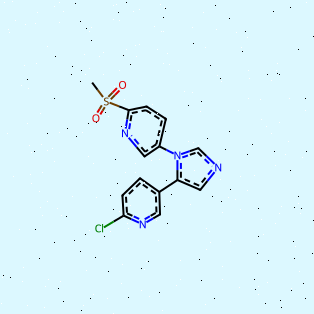 CS(=O)(=O)c1ccc(-n2cncc2-c2ccc(Cl)nc2)cn1